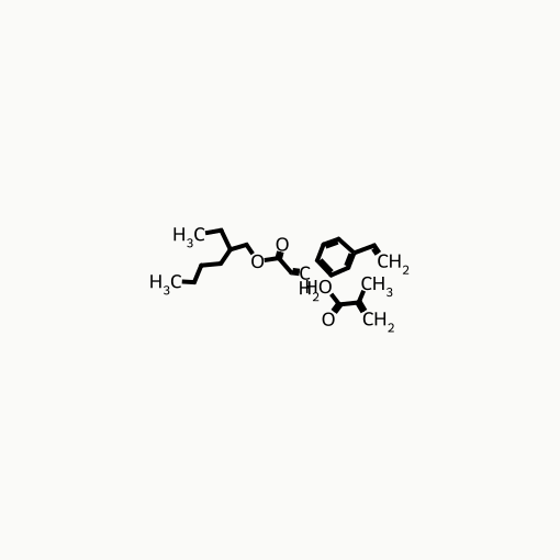 C=C(C)C(=O)O.C=CC(=O)OCC(CC)CCCC.C=Cc1ccccc1